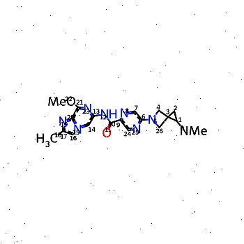 CNC1CC12CN(c1cnc(C(=O)Nc3cn4cc(C)nc4c(OC)n3)cn1)C2